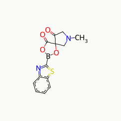 CN1CC(=O)C2(C1)OB(c1nc3ccccc3s1)OC2=O